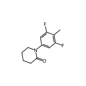 Cc1c(F)cc(N2CCCCC2=O)cc1F